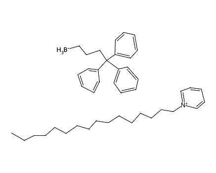 CCCCCCCCCCCCCCCC[n+]1ccccc1.[BH3-]CCCC(c1ccccc1)(c1ccccc1)c1ccccc1